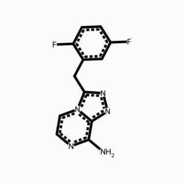 Nc1nccn2c(Cc3cc(F)ccc3F)nnc12